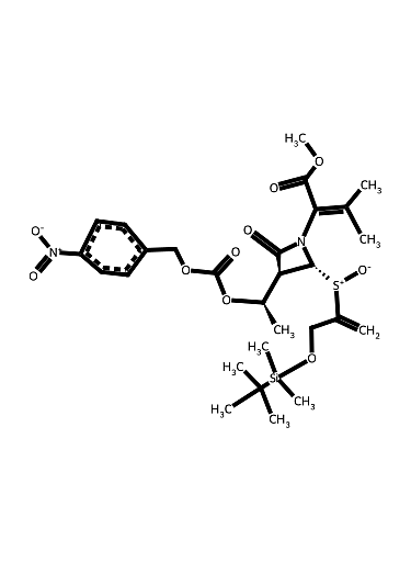 C=C(CO[Si](C)(C)C(C)(C)C)[S+]([O-])[C@@H]1[C@@H]([C@@H](C)OC(=O)OCc2ccc([N+](=O)[O-])cc2)C(=O)N1C(C(=O)OC)=C(C)C